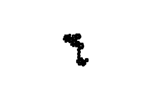 CC1=CC(C)(C)N(C)c2cc3c(cc21)C(c1ccccc1C(=O)O)=c1cc2c(cc1C3(C)C)=[N+](CCCCCC(=O)ON1C(=O)CCC1=O)CCC2